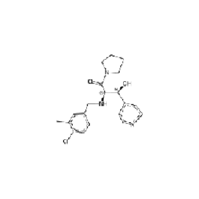 Cc1cc(CN[C@@H](C(=O)N2CCCC2)[C@@H](O)c2ccncc2)ccc1Cl